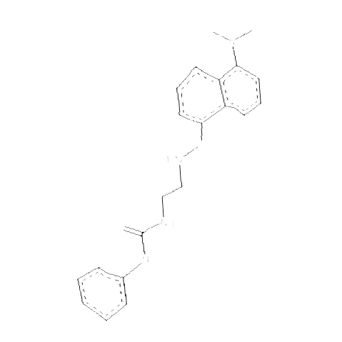 CN(C)c1cccc2c(SNCCNC(=O)Nc3ccccc3)cccc12